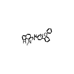 Nc1c(N=Nc2ccc(-c3ccccc3Oc3ccccc3)nc2)ccc2ccccc12